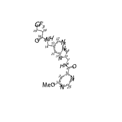 COc1cc(C(=O)NCc2cn3ncc(CNC(=O)CCC(F)(F)F)cc3n2)ncn1